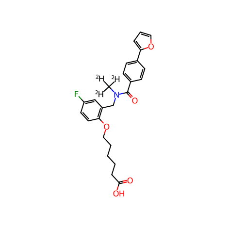 [2H]C([2H])([2H])N(Cc1cc(F)ccc1OCCCCCC(=O)O)C(=O)c1ccc(-c2ccco2)cc1